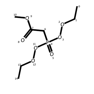 CCOOP(=O)(CC(=O)OC)OOCC